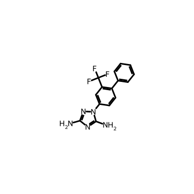 Nc1nc(N)n(-c2ccc(-c3ccccc3)c(C(F)(F)F)c2)n1